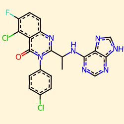 CC(Nc1ncnc2[nH]cnc12)c1nc2ccc(F)c(Cl)c2c(=O)n1-c1ccc(Cl)cc1